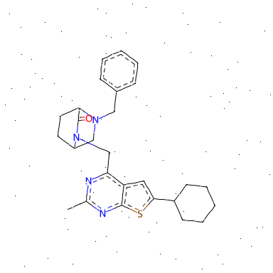 Cc1nc(CN2C(=O)C3CCC2CN3Cc2ccccc2)c2cc(C3CCCCC3)sc2n1